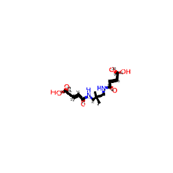 CC(C)(CNC(=O)C=CC(=O)O)CNC(=O)C=CC(=O)O